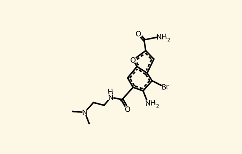 CN(C)CCNC(=O)c1cc2oc(C(N)=O)cc2c(Br)c1N